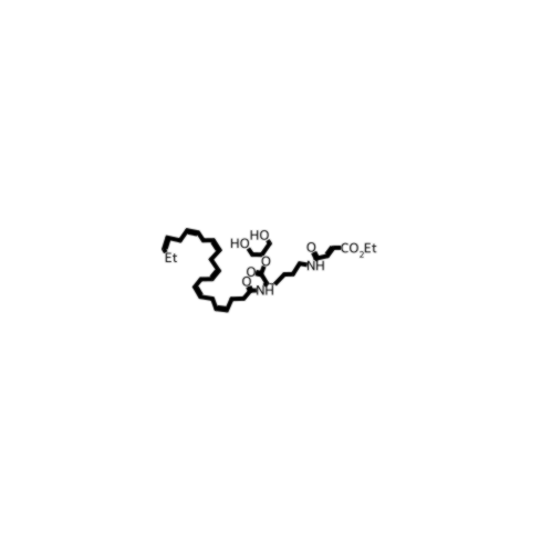 CC/C=C\C/C=C\C/C=C\C/C=C\C/C=C\C/C=C\CCC(=O)N[C@@H](CCCCNC(=O)/C=C/C(=O)OCC)C(=O)OC(CO)CO